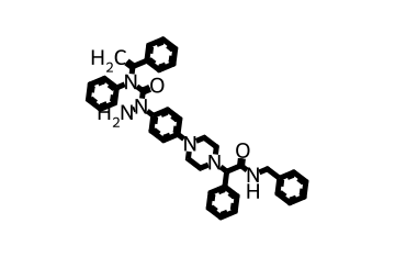 C=C(c1ccccc1)N(C(=O)N(N)c1ccc(N2CCN(C(C(=O)NCc3ccccc3)c3ccccc3)CC2)cc1)c1ccccc1